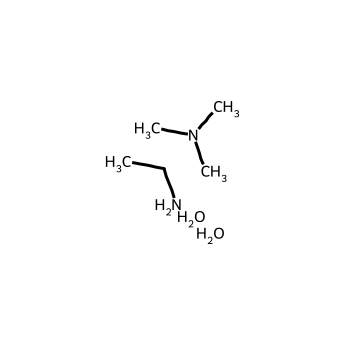 CCN.CN(C)C.O.O